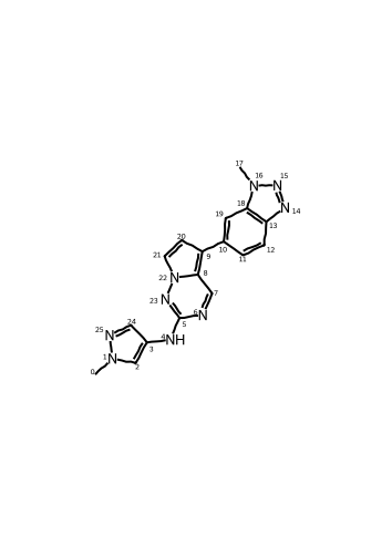 Cn1cc(Nc2ncc3c(-c4ccc5nnn(C)c5c4)ccn3n2)cn1